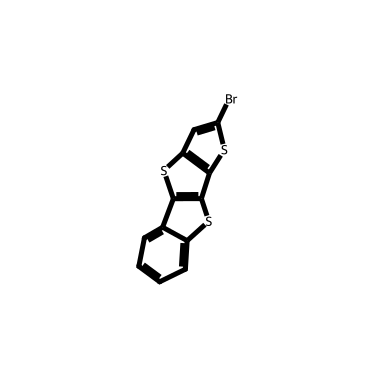 Brc1cc2sc3c4ccccc4sc3c2s1